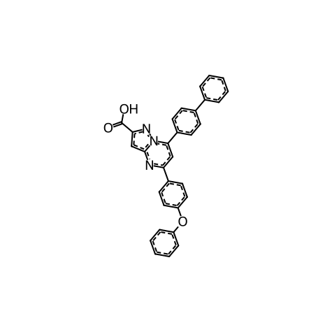 O=C(O)c1cc2nc(-c3ccc(Oc4ccccc4)cc3)cc(-c3ccc(-c4ccccc4)cc3)n2n1